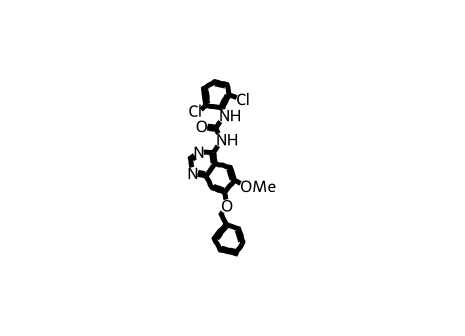 COc1cc2c(NC(=O)Nc3c(Cl)cccc3Cl)ncnc2cc1OCc1ccccc1